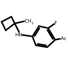 CC(=O)c1ccc(NC2(C)CCC2)cc1F